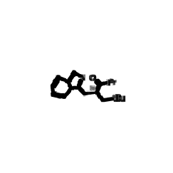 CC(C)C(=O)[C@H](CC1=NC=C2C=CC=CC21)CC(C)(C)C